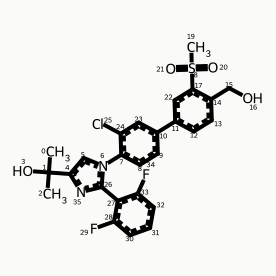 CC(C)(O)c1cn(-c2ccc(-c3ccc(CO)c(S(C)(=O)=O)c3)cc2Cl)c(-c2c(F)cccc2F)n1